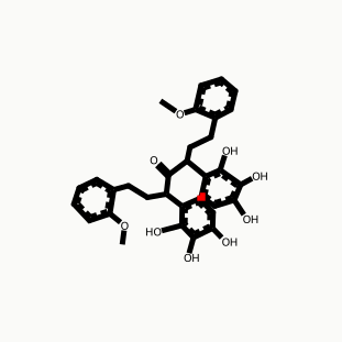 COc1ccccc1CCC(C(=O)C(CCc1ccccc1OC)c1ccc(O)c(O)c1O)c1ccc(O)c(O)c1O